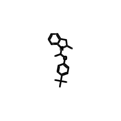 CC1Cc2ccccc2N1C(C)Oc1ccc(C(C)(C)C)cc1